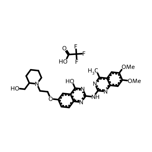 COc1cc2nc(Nc3nc(O)c4cc(OCCN5CCCCC5CO)ccc4n3)nc(C)c2cc1OC.O=C(O)C(F)(F)F